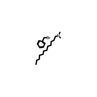 BrCc1ccccc1.CCCCCCCCCCCCN(C)C